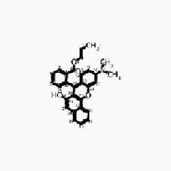 [CH2]CCOC(=O)c1ccccc1C1=C2C=CC(N(C)C)C=C2Oc2c1c(O)cc1ccccc21